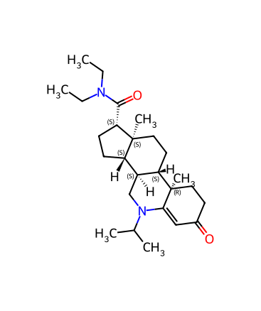 CCN(CC)C(=O)[C@H]1CC[C@H]2[C@@H]3CN(C(C)C)C4=CC(=O)CC[C@]4(C)[C@H]3CC[C@]12C